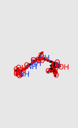 CCOCC(CO)(COCCC(=O)NCCCNC(=O)CCCCOC1OC(CO)C(OC(C)=O)C(OC(C)=O)C1NC(C)=O)NC(=O)CCCCCCCCCCC(=O)N1C[C@H](O)C[C@H]1COC(c1ccccc1)(c1ccc(OC)cc1)c1ccc(OC)cc1